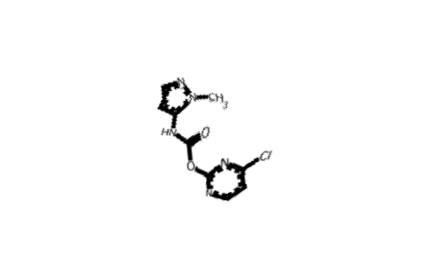 Cn1nccc1NC(=O)Oc1nccc(Cl)n1